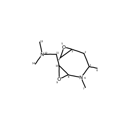 CC(CC1CO1)N(C)C1OC1CN(C)C